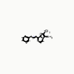 Cc1nc2c(/C=C/Cc3ccccc3)nccn2c1N